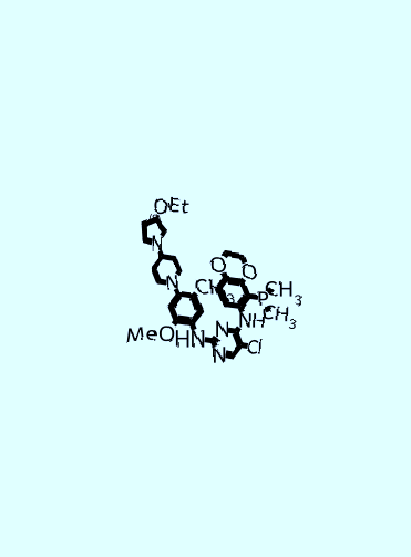 CCO[C@H]1CCN(C2CCN(c3cc(OC)c(Nc4ncc(Cl)c(Nc5ccc6c(c5P(C)C)OCCO6)n4)cc3C)CC2)C1